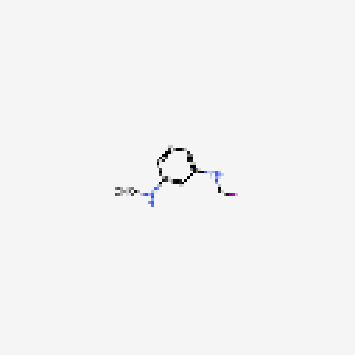 O=CNc1cccc(NCI)c1